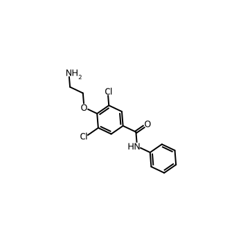 NCCOc1c(Cl)cc(C(=O)Nc2ccccc2)cc1Cl